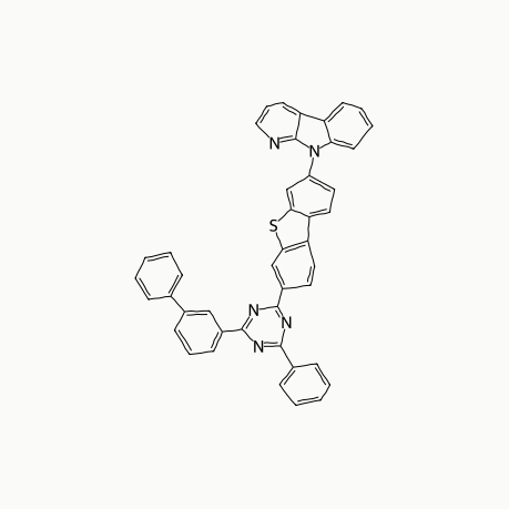 c1ccc(-c2cccc(-c3nc(-c4ccccc4)nc(-c4ccc5c(c4)sc4cc(-n6c7ccccc7c7cccnc76)ccc45)n3)c2)cc1